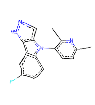 Cc1ccc(-n2c3ccc(F)cc3c3[nH]ncc32)c(C)n1